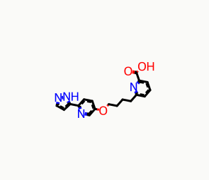 O=C(O)c1cccc(CCCCOc2ccc(-c3ccn[nH]3)nc2)n1